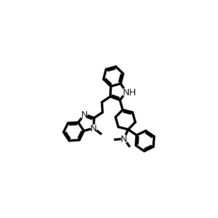 CN(C)C1(c2ccccc2)CC=C(c2[nH]c3ccccc3c2CCc2nc3ccccc3n2C)CC1